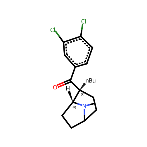 CCCC[C@@]1(C(=O)c2ccc(Cl)c(Cl)c2)CCC2CC[C@H]1N2C